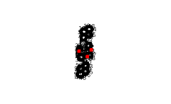 Fc1ccc(-c2ccc3ccc4cccc5ccc2c3c45)c(F)[c]1[Ti]([C]1=CC=CC1)([C]1=CC=CC1)[c]1c(F)ccc(-c2ccc3ccc4cccc5ccc2c3c45)c1F